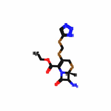 CCOC(=O)C1=C(SCSc2cnn[nH]2)CS[C@H]2C(N)C(=O)N12